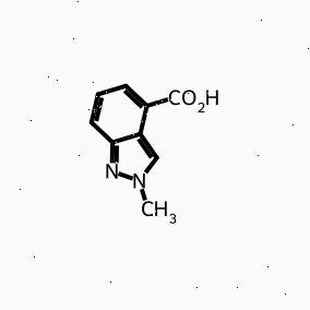 Cn1cc2c(C(=O)O)cccc2n1